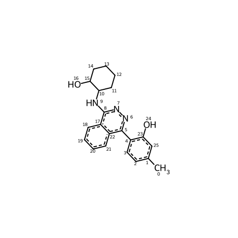 Cc1ccc(-c2nnc(NC3CCCCC3O)c3ccccc23)c(O)c1